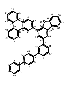 c1ccc(-c2ccc(-c3cccc(-c4cc(-c5ccc6c7ccccc7c7ccccc7c6c5)c5sc6ccccc6c5c4)c3)cc2)cc1